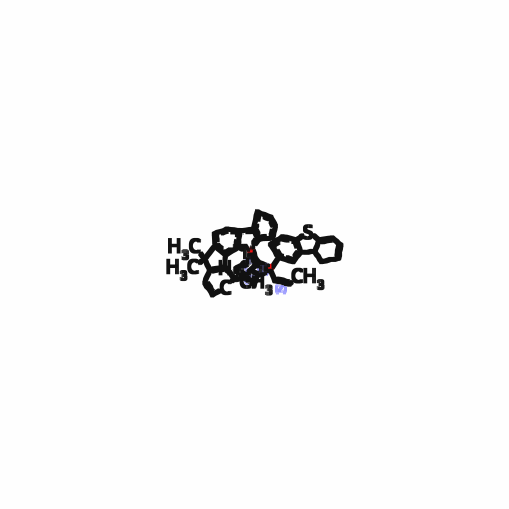 C/C=C\C=C(C1=C\C(C)=C(c2ccc3c(c2)C2CC=CC=C2S3)\C=C\C=C\1)\n1c2ccccc2c2ccc3c(c21)C1=C(C=CCC1C)C3(C)C